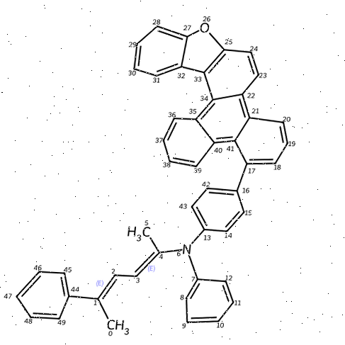 C/C(=C\C=C(/C)N(c1ccccc1)c1ccc(-c2cccc3c4ccc5oc6ccccc6c5c4c4ccccc4c23)cc1)c1ccccc1